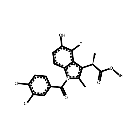 Cc1c([C@@H](C)C(=O)OC(C)C)c2c(F)c(O)ccc2n1C(=O)c1ccc(Cl)c(Cl)c1